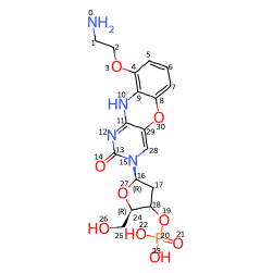 NCCOc1cccc2c1Nc1nc(=O)n([C@H]3CC(OP(=O)(O)O)[C@@H](CO)O3)cc1O2